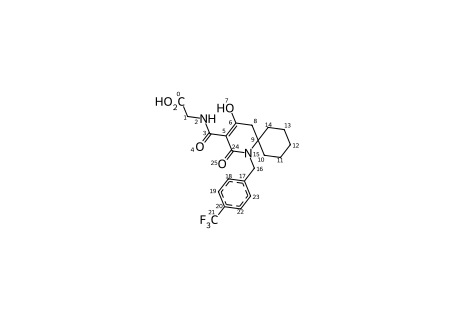 O=C(O)CNC(=O)C1=C(O)CC2(CCCCC2)N(Cc2ccc(C(F)(F)F)cc2)C1=O